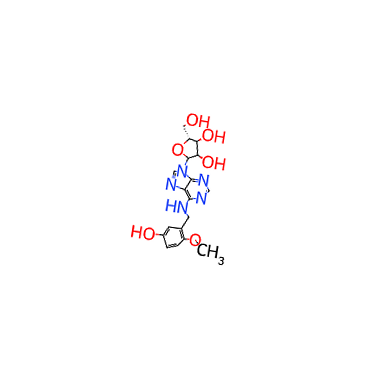 COc1ccc(O)cc1CNc1ncnc2c1ncn2C1O[C@H](CO)[C@@H](O)[C@H]1O